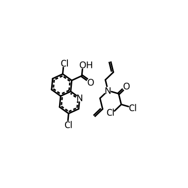 C=CCN(CC=C)C(=O)C(Cl)Cl.O=C(O)c1c(Cl)ccc2cc(Cl)cnc12